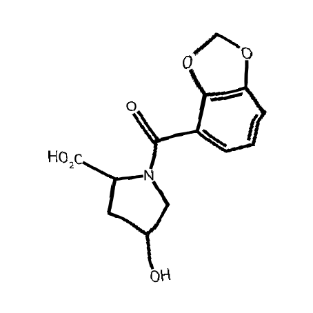 O=C(O)C1CC(O)CN1C(=O)c1cccc2c1OCO2